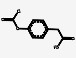 O=C(S)Cc1ccc(OC(=O)Cl)cc1